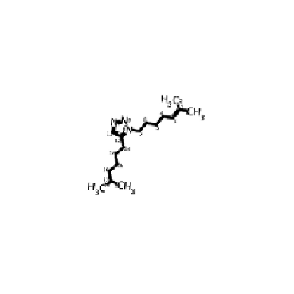 CC(C)=CCCCCn1nncc1CCCCC(C)C